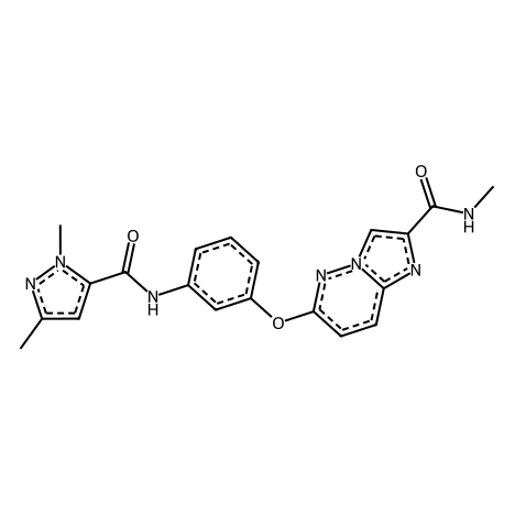 CNC(=O)c1cn2nc(Oc3cccc(NC(=O)c4cc(C)nn4C)c3)ccc2n1